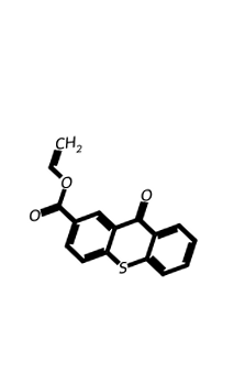 C=COC(=O)c1ccc2sc3ccccc3c(=O)c2c1